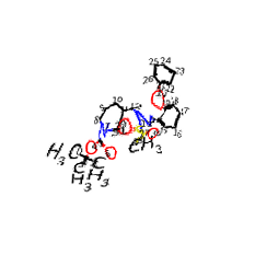 CC(C)(C)OC(=O)N1CCCC(CN(c2ccccc2Oc2ccccc2)S(C)(=O)=O)C1